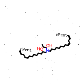 CCCCC/C=C\C/C=C\CCCCCCCCN(CCCCCCCC/C=C\C/C=C\CCCCC)C(O)C(C)O